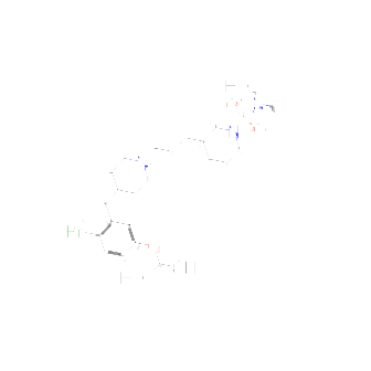 CC(C)Oc1ccc(Br)c(CC2CCN(CCCC3CCCN(S(=O)(=O)N(C)C)C3)CC2)c1